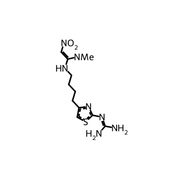 CN/C(=C\[N+](=O)[O-])NCCCCc1csc(N=C(N)N)n1